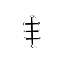 FC(F)(F)C(F)(F)C(F)(F)C(F)(F)C(F)(F)F